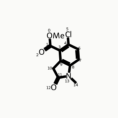 COC(=O)c1c(Cl)ccc2c1CC(=O)N2C